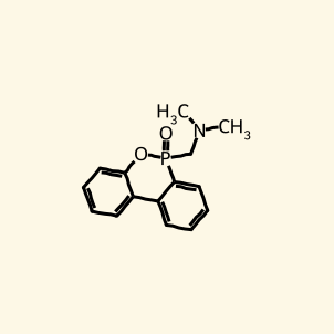 CN(C)CP1(=O)Oc2ccccc2-c2ccccc21